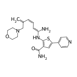 C=C(/C=C\C=C(/N)Nc1sc(-c2ccncc2)cc1C(N)=O)CN1CCOCC1